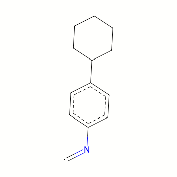 [CH]=Nc1ccc(C2CCCCC2)cc1